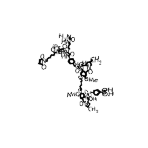 C=C1CC2C(O)N(C(=O)OCc3ccc(B(O)O)cc3)c3cc(OCCCCCOc4cc5c(cc4OC)C(=O)N4CC(=C)C[C@H]4C(O)N5C(=O)OCc4ccc(NC(=O)[C@H](CCCNC(N)=O)NC(=O)[C@@H](NC(=O)CCCCCN5C(=O)C=CC5=O)C(C)C)cc4)c(OC)cc3C(=O)N2C1